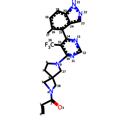 C=CC(=O)N1CC2(CCN(c3ncnc(-c4c(C)ccc5[nH]ncc45)c3C(F)(F)F)C2)C1